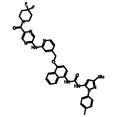 Cc1ccc(-n2nc(C(C)(C)C)cc2NC(=O)Nc2ccc(OCc3ccnc(Nc4cnc(C(=O)N5CCC(F)(F)CC5)cn4)c3)c3ccccc23)cc1